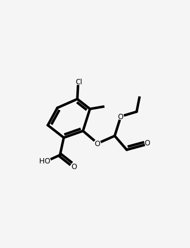 CCOC(C=O)Oc1c(C(=O)O)ccc(Cl)c1C